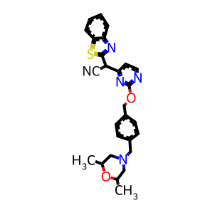 CC1CN(Cc2ccc(COc3nccc(C(C#N)c4nc5ccccc5s4)n3)cc2)CC(C)O1